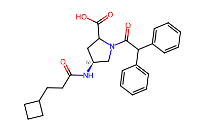 O=C(CCC1CCC1)N[C@H]1CC(C(=O)O)N(C(=O)C(c2ccccc2)c2ccccc2)C1